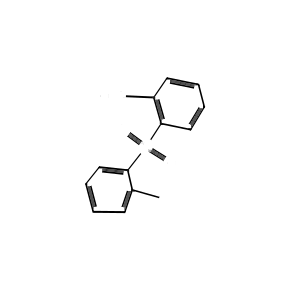 Cc1ccccc1S(=O)(=O)c1[c]cccc1S(=O)(=O)O